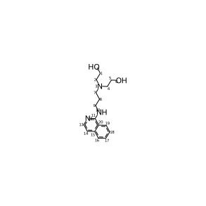 OCCN(CCO)CCCNc1nccc2ccccc12